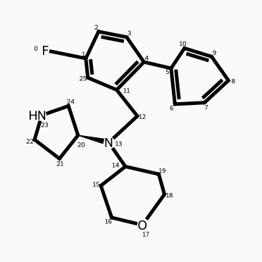 Fc1ccc(-c2ccccc2)c(CN(C2CCOCC2)[C@H]2CCNC2)c1